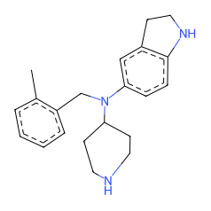 Cc1ccccc1CN(c1ccc2c(c1)CCN2)C1CCNCC1